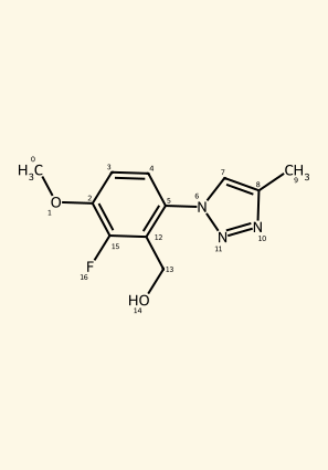 COc1ccc(-n2cc(C)nn2)c(CO)c1F